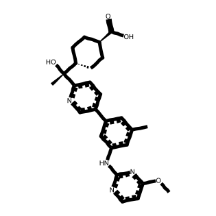 COc1ccnc(Nc2cc(C)cc(-c3ccc([C@](C)(O)[C@H]4CC[C@H](C(=O)O)CC4)nc3)c2)n1